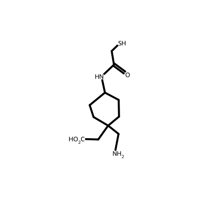 NCC1(CC(=O)O)CCC(NC(=O)CS)CC1